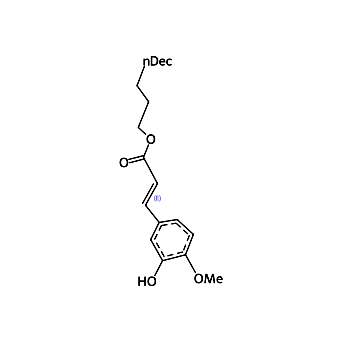 CCCCCCCCCCCCCOC(=O)/C=C/c1ccc(OC)c(O)c1